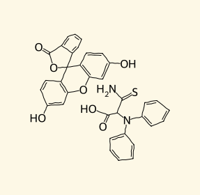 NC(=S)C(C(=O)O)N(c1ccccc1)c1ccccc1.O=C1OC2(c3ccc(O)cc3Oc3cc(O)ccc32)c2ccccc21